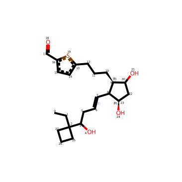 CCC1(C(O)C/C=C/C2[C@@H](CCCc3ccc(C=O)s3)C(O)C[C@H]2O)CCC1